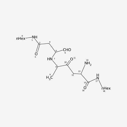 CCCCCCNC(=O)CC(C=O)NC(C)C(=O)CC(N)C(=O)NCCCCCC